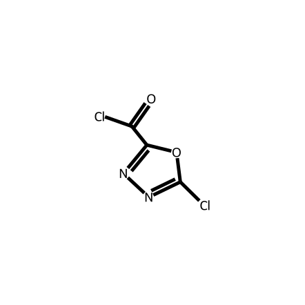 O=C(Cl)c1nnc(Cl)o1